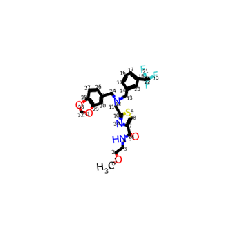 COCCNC(=O)c1csc(CN(Cc2cccc(C(F)(F)F)c2)Cc2ccc3c(c2)OCO3)n1